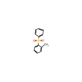 Cc1ccccc1S(=O)(=O)c1c[c]ccc1